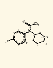 O=C(O)N(c1ccc(F)cc1)[C@@H]1CCCNC1